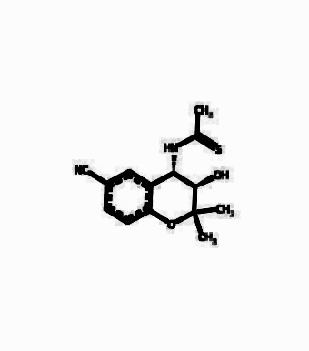 CC(=S)N[C@H]1c2cc(C#N)ccc2OC(C)(C)[C@@H]1O